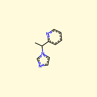 CC(c1ccccn1)n1ccnc1